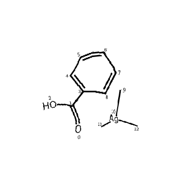 O=C(O)c1ccccc1.[CH3][Ag]([CH3])[CH3]